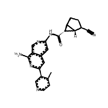 Cc1ccncc1-c1cc2cc(NC(=O)[C@@H]3C4CCC(C#N)[C@@H]43)ncc2c(N)n1